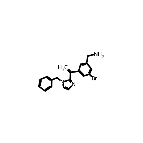 C=C(c1cc(Br)cc(CN)c1)c1nccn1Cc1ccccc1